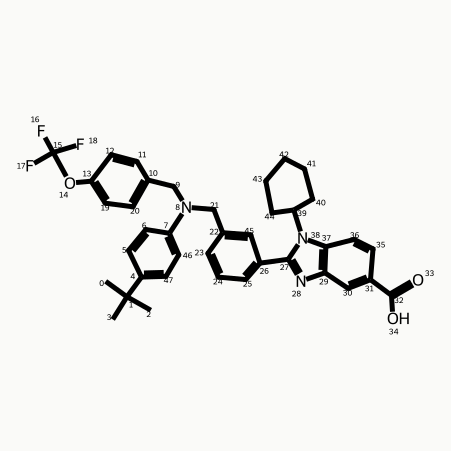 CC(C)(C)c1ccc(N(Cc2ccc(OC(F)(F)F)cc2)Cc2cccc(-c3nc4cc(C(=O)O)ccc4n3C3CCCCC3)c2)cc1